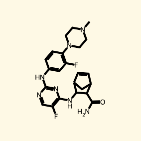 CN1CCN(c2ccc(Nc3ncc(F)c(NC4C5C=CC(C5)C4C(N)=O)n3)cc2F)CC1